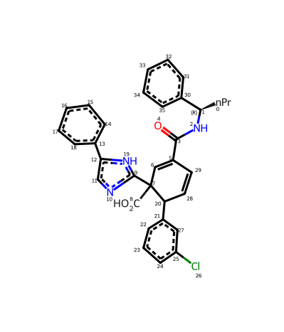 CCC[C@@H](NC(=O)C1=CC(C(=O)O)(c2ncc(-c3ccccc3)[nH]2)C(c2cccc(Cl)c2)C=C1)c1ccccc1